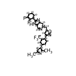 Cc1nc(C)c(-c2ccc(-c3cc(CN4Cc5nc(-c6cccc(F)c6F)[nH]c5C=N4)on3)c(C(F)(F)F)c2)s1